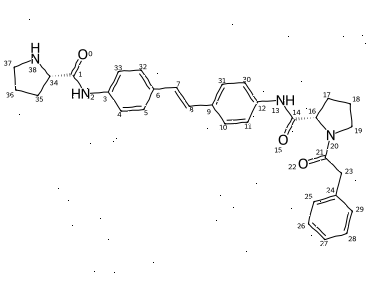 O=C(Nc1ccc(/C=C/c2ccc(NC(=O)[C@@H]3CCCN3C(=O)Cc3ccccc3)cc2)cc1)[C@@H]1CCCN1